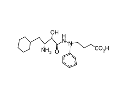 N[C@H](CC1CCCCC1)C(O)C(=O)NN(CCCC(=O)O)c1ccccc1